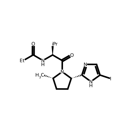 CCC(=O)N[C@H](C(=O)N1[C@@H](C)CC[C@H]1c1ncc(I)[nH]1)C(C)C